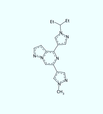 CCC(CC)n1cc(-c2nc(-c3cnn(C)c3)cn3nccc23)cn1